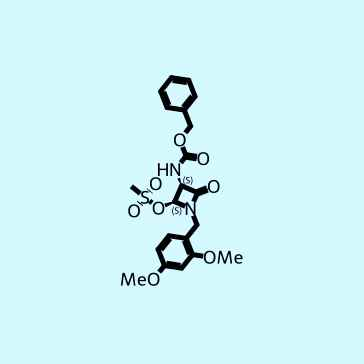 COc1ccc(CN2C(=O)[C@@H](NC(=O)OCc3ccccc3)[C@@H]2OS(C)(=O)=O)c(OC)c1